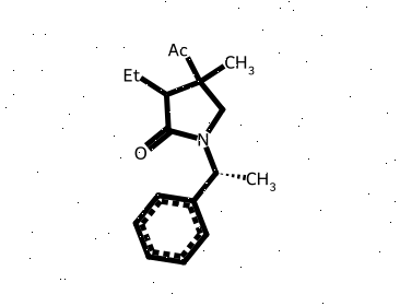 CCC1C(=O)N([C@H](C)c2ccccc2)CC1(C)C(C)=O